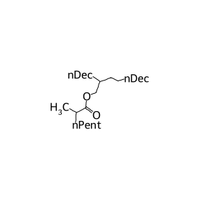 CCCCCCCCCCCCC(CCCCCCCCCC)COC(=O)C(C)CCCCC